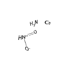 N.O=[NH+][O-].[Ce]